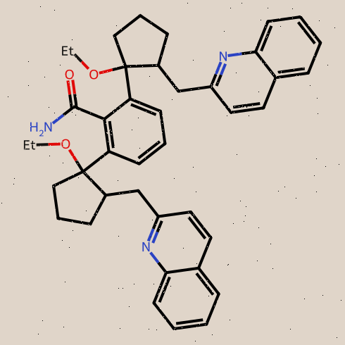 CCOC1(c2cccc(C3(OCC)CCCC3Cc3ccc4ccccc4n3)c2C(N)=O)CCCC1Cc1ccc2ccccc2n1